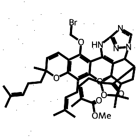 COC(=O)/C(C)=C\CC12OC(C)(C)C3CC(C1=O)C1C4=C(Nc5ncn1n5)c1c(OCBr)c5c(c(CC=C(C)C)c1OC432)OC(C)(CCC=C(C)C)C=C5